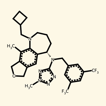 Cc1c2c(cc3c1N(CC1CCC1)CCC[C@@H]3N(Cc1cc(C(F)(F)F)cc(C(F)(F)F)c1)c1nnn(C)n1)COC2